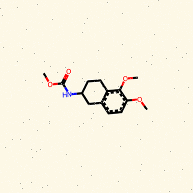 COC(=O)NC1CCc2c(ccc(OC)c2OC)C1